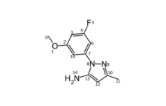 COc1cc(F)cc(-n2nc(C)cc2N)c1